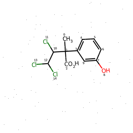 CC(C(=O)O)(c1cccc(O)c1)C(Cl)C(Cl)Cl